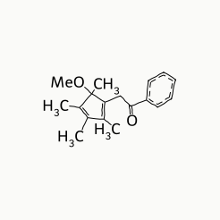 COC1(C)C(C)=C(C)C(C)=C1CC(=O)c1ccccc1